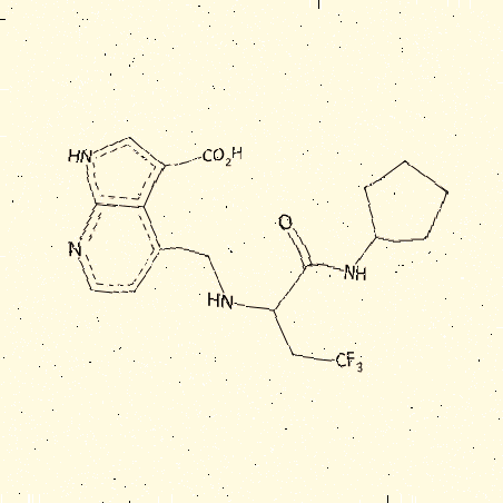 O=C(O)c1c[nH]c2nccc(CNC(CC(F)(F)F)C(=O)NC3CCCC3)c12